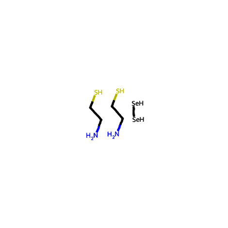 NCCS.NCCS.[SeH][SeH]